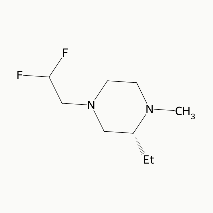 CC[C@@H]1CN(CC(F)F)CCN1C